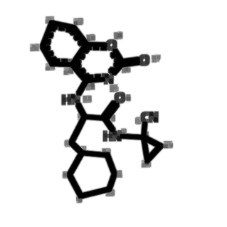 N#CC1(NC(=O)C(CC2CCCCC2)Nc2nc(=O)oc3ccccc23)CC1